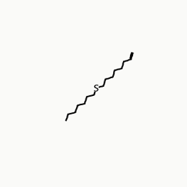 C=CCCCCCCSCCCCCCC